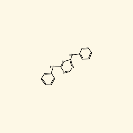 B(c1ccccc1)c1ncnc(Bc2ccccc2)n1